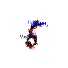 C=C1CC2CC[C@]34C[C@@H](O)C(O3)C3CC(O4)[C@H]4OC(CCC4O3)CC(=O)CC3[C@H](C[C@H]4O[C@@H](CCC1O2)C[C@@H](C)C4=C)O[C@H](CC(O)CNC(=O)OCc1ccc(NC(=O)C(CCCNC(N)=O)NC(=O)[C@@H](N)C(C)C)cc1)[C@@H]3OC